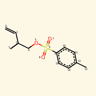 C=CC(C)COS(=O)(=O)c1ccc(C)cc1